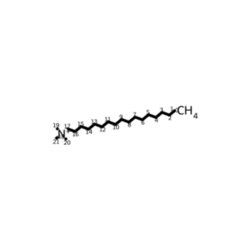 C.CCCCCCCCCCCCCCCCC[N+](C)(C)C